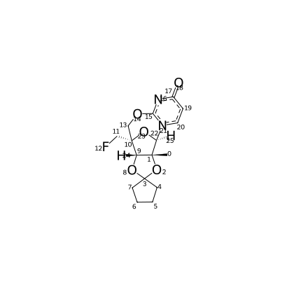 C[C@@]12OC3(CCCC3)O[C@@H]1[C@@]1(CF)COc3nc(=O)ccn3[C@@H]2O1